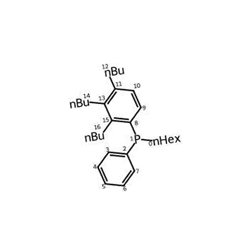 CCCCCCP(c1ccccc1)c1ccc(CCCC)c(CCCC)c1CCCC